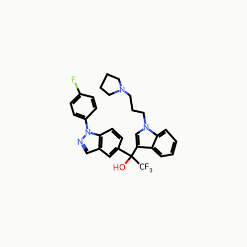 OC(c1ccc2c(cnn2-c2ccc(F)cc2)c1)(c1cn(CCCN2CCCC2)c2ccccc12)C(F)(F)F